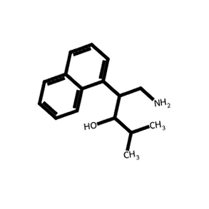 CC(C)C(O)C(CN)c1cccc2ccccc12